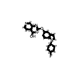 Oc1nc(Oc2ccc3c(ccn3-c3ccc(F)cc3)c2)nc2cnccc12